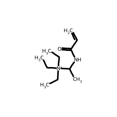 C=CC(=O)NC(C)[N+](CC)(CC)CC